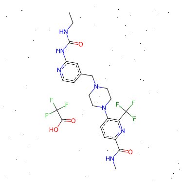 CCNC(=O)Nc1cc(CN2CCN(c3ccc(C(=O)NC)nc3C(F)(F)F)CC2)ccn1.O=C(O)C(F)(F)F